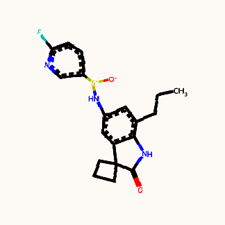 CCCc1cc(N[S+]([O-])c2ccc(F)nc2)cc2c1NC(=O)C21CCC1